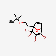 CC(C)(C)[Si](C)(C)OCCC12C=CC(O1)C(Br)=C(Br)C2(Br)Br